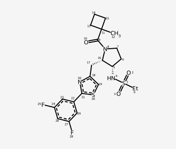 CCS(=O)(=O)N[C@H]1CCN(C(=O)C2(C)CCC2)[C@H]1Cc1csc(-c2cc(F)cc(F)c2)n1